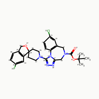 CC(C)(C)OC(=O)N1Cc2cc(Cl)ccc2-n2c(nnc2N2CCC3(CC2)OCc2ccc(F)cc23)C1